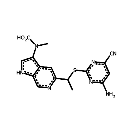 CC(Sc1nc(N)cc(C#N)n1)c1cc2c(N(C)C(=O)O)c[nH]c2cn1